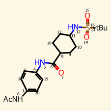 CC(=O)Nc1ccc(NC(=O)C2CCC(NS(=O)(=O)C(C)(C)C)CC2)cc1